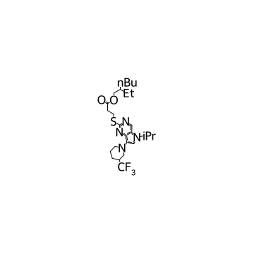 CCCCC(CC)COC(=O)CCSc1ncc2c(n1)c(N1CCCC(C(F)(F)F)C1)cn2C(C)C